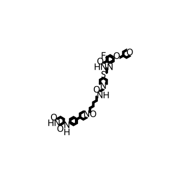 O=C(CN1CCC(SCc2nc3cc(OCC4CCOCC4)cc(F)c3c(=O)[nH]2)CC1)NCCCCCC(=O)N1CCC(c2ccc(NC3CCC(=O)NC3=O)cc2)CC1